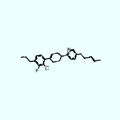 CCCCCc1ccc(C2CC=C(c3ccc(CCC)c(F)c3Cl)CC2)nc1